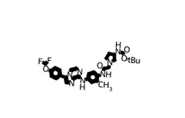 Cc1cc(Nc2nccn3c(-c4ccc(OC(F)F)cc4)cnc23)ccc1NC(=O)CN1CCC(NC(=O)OC(C)(C)C)C1